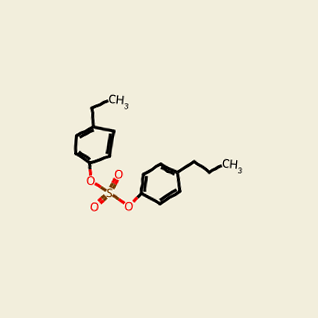 CCCc1ccc(OS(=O)(=O)Oc2ccc(CC)cc2)cc1